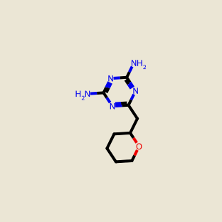 Nc1nc(N)nc(CC2CCCCO2)n1